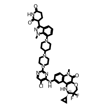 Cn1nc(C2CCC(=O)NC2=O)c2cccc(N3CCC(N4CCN(c5ncc(Cl)c(Nc6ccc7c(c6)c6c(c(=O)n7C)OCC(F)(F)[C@H](C7CC7)N6)n5)CC4)CC3)c21